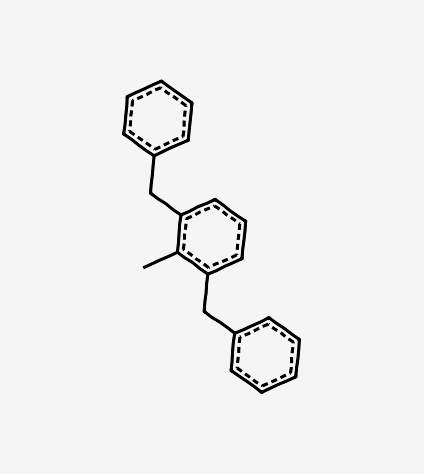 Cc1c(Cc2ccccc2)cccc1Cc1ccccc1